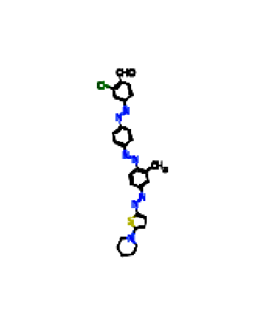 Cc1cc(N=Nc2ccc(N3CCCCC3)s2)ccc1N=Nc1ccc(N=Nc2ccc(C=O)c(Cl)c2)cc1